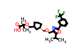 CC(C)c1oc(-c2cccc(C(F)(F)F)c2)nc1COC[C@H]1CCCC(COC(C)(C)C(=O)O)C1